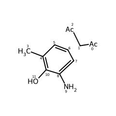 CC(=O)CC(C)=O.Cc1cccc(N)c1O